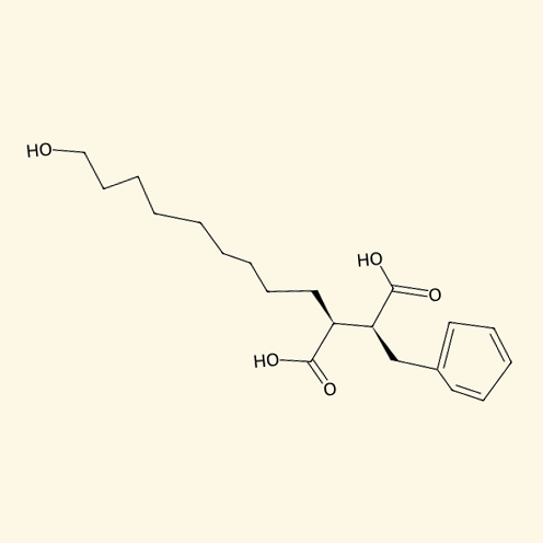 O=C(O)[C@@H](CCCCCCCCCO)[C@H](Cc1ccccc1)C(=O)O